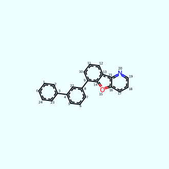 c1ccc(-c2cccc(-c3cccc4c3oc3cccnc34)c2)cc1